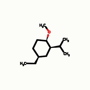 CC[C@H]1CC[C@H](OC)[C@@H](C(C)C)C1